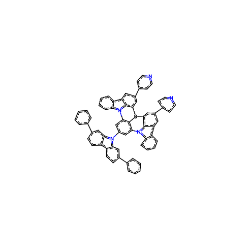 c1ccc(-c2ccc3c4ccc(-c5ccccc5)cc4n(-c4cc5c6c(c4)-n4c7ccccc7c7cc(-c8ccncc8)cc(c74)B6c4cc(-c6ccncc6)cc6c7ccccc7n-5c46)c3c2)cc1